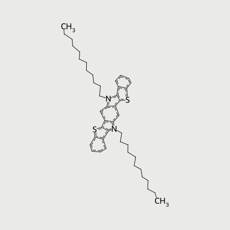 CCCCCCCCCCCCn1c2cc3c4sc5ccccc5c4n(CCCCCCCCCCCC)c3cc2c2sc3ccccc3c21